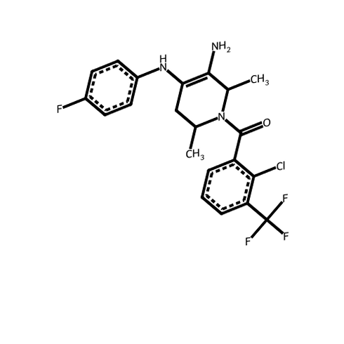 CC1CC(Nc2ccc(F)cc2)=C(N)C(C)N1C(=O)c1cccc(C(F)(F)F)c1Cl